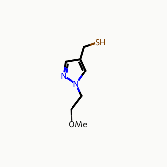 COCCn1cc(CS)cn1